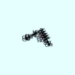 CCOC(=O)CCO.CCOC(=O)CCO.CCOC(=O)CCO.CCOC(=O)CCO.CCOC(=O)CCO.CCOC(=O)CCO.ClC(Cl)Cl.ClC(Cl)Cl.ClC(Cl)Cl.ClC(Cl)Cl